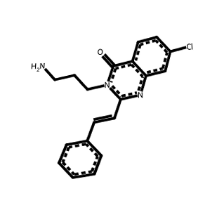 NCCCn1c(C=Cc2ccccc2)nc2cc(Cl)ccc2c1=O